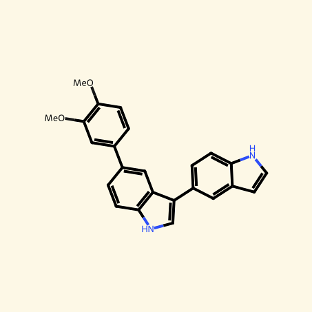 COc1ccc(-c2ccc3[nH]cc(-c4ccc5[nH]ccc5c4)c3c2)cc1OC